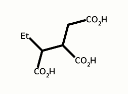 [CH2]CC(C(=O)O)C(CC(=O)O)C(=O)O